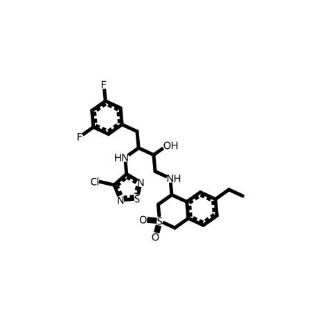 CCc1ccc2c(c1)C(NCC(O)C(Cc1cc(F)cc(F)c1)Nc1nsnc1Cl)CS(=O)(=O)C2